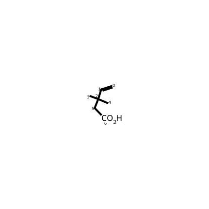 C=CC(C)(C)CC(=O)O